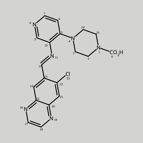 O=C(O)N1CCN(c2ccncc2/N=C/c2cc3nccnc3cc2Cl)CC1